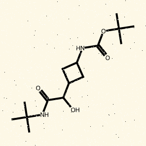 CC(C)(C)NC(=O)C(O)C1CC(NC(=O)OC(C)(C)C)C1